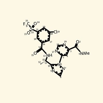 CNC(=O)c1cc(-n2ncnc2[C@H](C)NC(=O)c2cc(Cl)cc(S(=O)(=O)C(F)(F)F)c2)ncn1